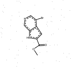 COC(=O)c1cc2c(Br)cncc2[nH]1